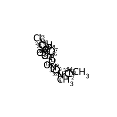 CN1CCC(N(C)C2CCN(C(=O)OC[C@H]3CCC[C@H]4c5cc(Cl)ccc5S(=O)(=O)N34)CC2)CC1